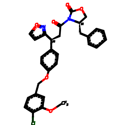 O=C(C[C@@H](c1ccc(OCc2ccc(Cl)c(OC(F)(F)F)c2)cc1)c1ccon1)N1C(=O)OC[C@@H]1Cc1ccccc1